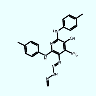 C=NBN=Nc1c(Nc2ccc(C)cc2)nc(Nc2ccc(C)cc2)c(C#N)c1N